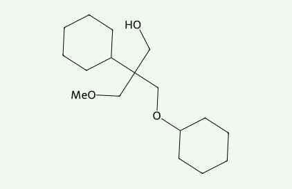 COCC(CO)(COC1CCCCC1)C1CCCCC1